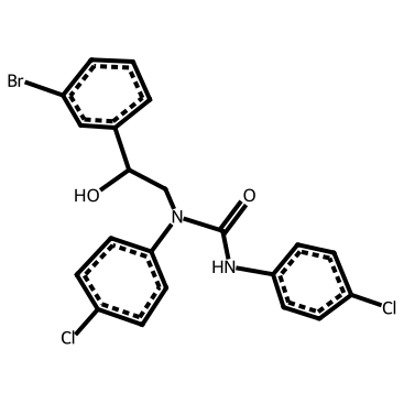 O=C(Nc1ccc(Cl)cc1)N(CC(O)c1cccc(Br)c1)c1ccc(Cl)cc1